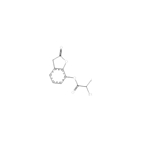 CCC(I)C(=O)Oc1cccc2c1OC(=O)C2